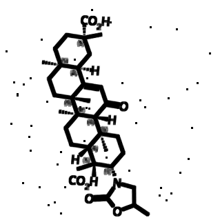 CC1CN([C@H]2CC[C@@]3(C)[C@@H](CC[C@]4(C)[C@@H]3C(=O)C=C3[C@@H]5C[C@@](C)(C(=O)O)CC[C@]5(C)CC[C@]34C)[C@]2(C)C(=O)O)C(=O)O1